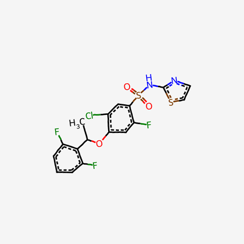 CC(Oc1cc(F)c(S(=O)(=O)Nc2nccs2)cc1Cl)c1c(F)cccc1F